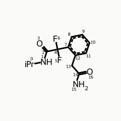 CC(C)NC(=O)C(F)(F)c1ccccc1CC(N)=O